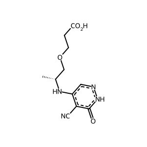 C[C@H](COCCC(=O)O)Nc1cn[nH]c(=O)c1C#N